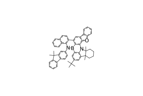 CC(C)(C)c1cc2c3c(c1)C1(C)CCCCC1(C)N3c1c3c(cc4c1oc1ccccc14)-c1ccc4ccccc4c1N(c1ccc4c(c1)C(C)(C)c1ccccc1-4)B23